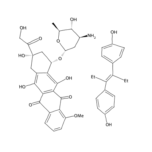 CC/C(=C(/CC)c1ccc(O)cc1)c1ccc(O)cc1.COc1cccc2c1C(=O)c1c(O)c3c(c(O)c1C2=O)C[C@@](O)(C(=O)CO)C[C@@H]3O[C@H]1C[C@H](N)[C@@H](O)[C@H](C)O1